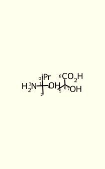 CC(C)C(C)(N)O.CC(O)C(=O)O